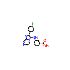 O=C(O)c1cccc(Nc2c(-c3ccc(F)cc3)nc3cnccn23)c1